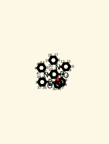 O=P1(c2ccccc2)c2ccccc2N(c2ccccc2)c2cc3c(cc21)P(=O)(c1ccccc1)c1ccccc1N3c1ccccc1